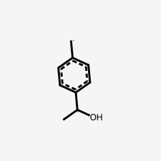 [CH2]c1ccc([C](C)O)cc1